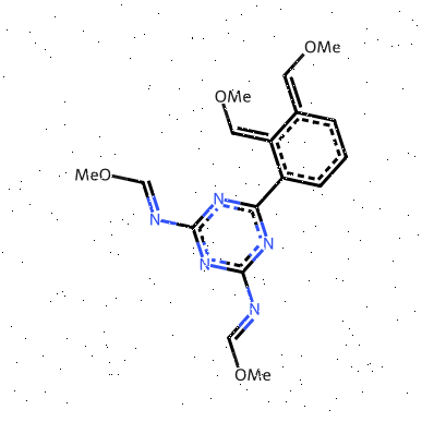 COC=Nc1nc(N=COC)nc(-c2cccc(=COC)c2=COC)n1